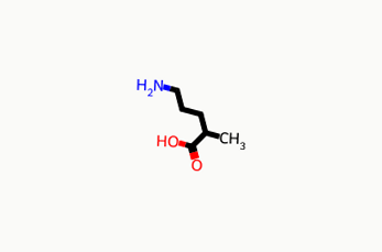 CC(CCCN)C(=O)O